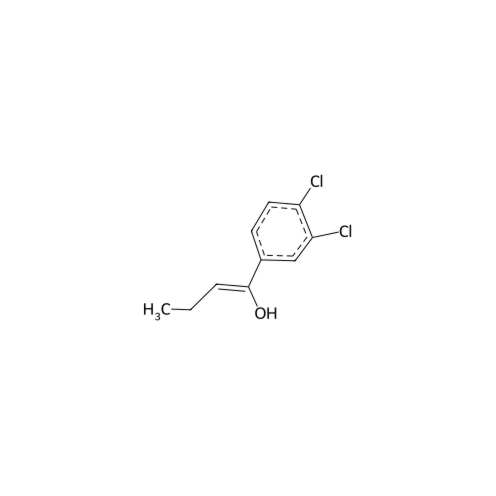 CCC=C(O)c1ccc(Cl)c(Cl)c1